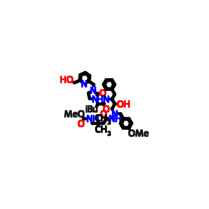 CCC(C)C(C(=O)NC(Cc1ccccc1)C(O)CN(Cc1ccc(OC)cc1)NC(=O)CC(C)(C)CNC(=O)OC)N1CCN(Cc2cccc(CO)n2)C1=O